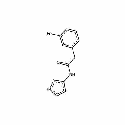 O=C(Cc1cccc(Br)c1)Nc1cc[nH]n1